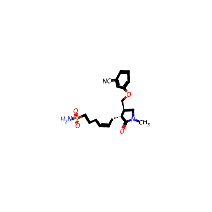 CN1C[C@H](COc2cccc(C#N)c2)[C@@H](C/C=C\CCCS(N)(=O)=O)C1=O